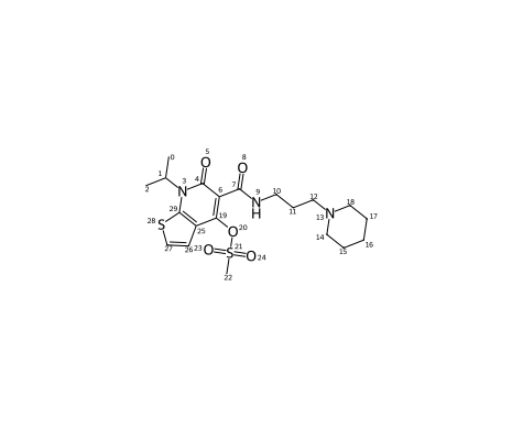 CC(C)n1c(=O)c(C(=O)NCCCN2CCCCC2)c(OS(C)(=O)=O)c2ccsc21